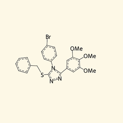 COc1cc(-c2nnc(SCc3ccccc3)n2-c2ccc(Br)cc2)cc(OC)c1OC